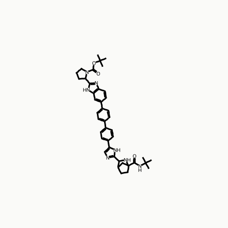 CC(C)(C)NC(=O)C12CCC(C1)C(c1ncc(-c3ccc(-c4ccc(-c5ccc6nc(C7CCCN7C(=O)OC(C)(C)C)[nH]c6c5)cc4)cc3)[nH]1)N2